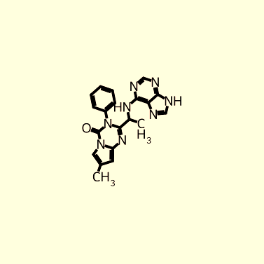 Cc1cc2nc(C(C)Nc3ncnc4[nH]cnc34)n(-c3ccccc3)c(=O)n2c1